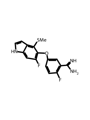 CSc1c(Oc2ccc(F)c(C(=N)N)c2)c(F)cc2[nH]ccc12